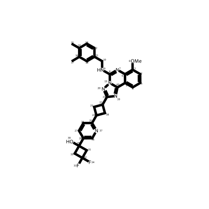 COc1cccc2c1nc(NCc1ccc(C)c(C)c1)n1nc(C3CC(c4ccc(C5(O)CC(F)(F)C5)cn4)C3)nc21